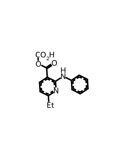 CCc1ccc(C(=O)OC(=O)O)c(Nc2ccccc2)n1